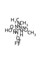 CCN(C)c1nc(Nc2cc(C)ccn2)c2c(n1)c(C(=O)O)nn2CCOCC(F)(F)F